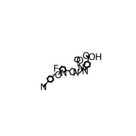 N#Cc1ccc(COc2nc(C3CCN(Cc4nc5ccc(C(=O)O)cc5n4C[C@H]4CCCO4)CC3)ccc2F)cc1